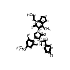 COc1cc(F)c([C@@H]2CN(c3c(C)c4c(n(CCO)c3=O)CCC4)C(=O)[C@H]2NC(=O)c2ccc(Cl)cc2)c(F)c1